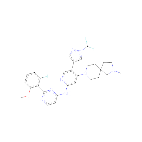 COc1cccc(F)c1-c1nccc(Nc2cc(N3CCC4(CCN(C)C4)CC3)c(-c3cnn(C(F)F)c3)cn2)n1